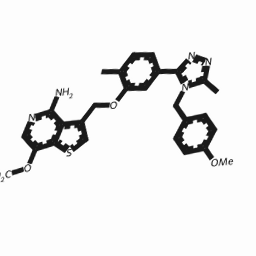 CCOC(=O)Oc1cnc(N)c2c(COc3cc(-c4nnc(C)n4Cc4ccc(OC)cc4)ccc3C)csc12